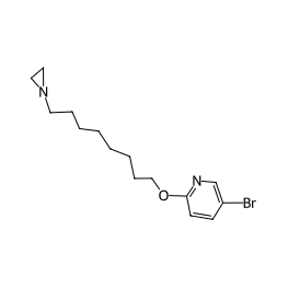 Brc1ccc(OCCCCCCCCN2CC2)nc1